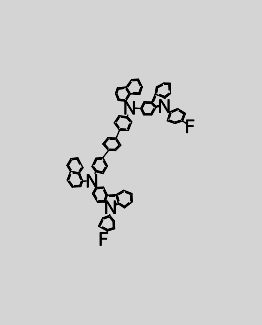 Fc1ccc(-n2c3ccccc3c3cc(N(c4ccc(-c5ccc(-c6ccc(N(c7ccc8c(c7)c7ccccc7n8-c7ccc(F)cc7)c7cccc8ccccc78)cc6)cc5)cc4)c4cccc5ccccc45)ccc32)cc1